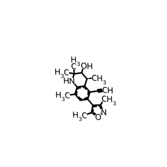 C#Cc1c(-c2c(C)noc2C)cc(C)c2c1[C@H](C)C(O)C(C)(C)N2